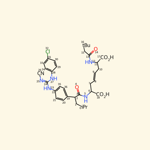 CC(C)CC(C(=O)NC(CC=CCC(NC(=O)CC(C)(C)C)C(=O)O)C(=O)O)c1ccc(NC(=NC#N)Nc2ccc(Cl)cc2)cc1